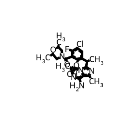 Cc1nc(C(C)c2cc(Cl)c(F)c(C(=O)N3CC(C)OC(C)C3)c2OC(C)C)n2ccnc(N)c12